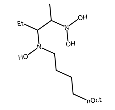 CCCCCCCCCCCCN(O)C(CC)C(C)N(O)O